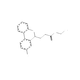 CCOC(=O)CCC1Oc2ccccc2-c2ccc(Cl)cc21